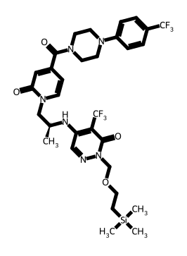 C[C@@H](Cn1ccc(C(=O)N2CCN(c3ccc(C(F)(F)F)cc3)CC2)cc1=O)Nc1cnn(COCC[Si](C)(C)C)c(=O)c1C(F)(F)F